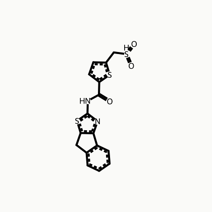 O=C(Nc1nc2c(s1)Cc1ccccc1-2)c1ccc(C[SH](=O)=O)s1